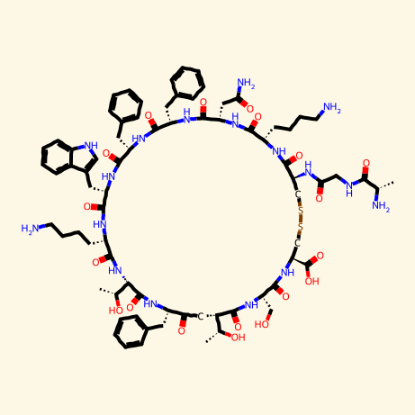 C[C@H](N)C(=O)NCC(=O)N[C@H]1CSSC[C@@H](C(=O)O)NC(=O)[C@H](CO)NC(=O)[C@H]([C@@H](C)O)CC(=O)[C@H](Cc2ccccc2)NC(=O)[C@H]([C@@H](C)O)NC(=O)[C@H](CCCCN)NC(=O)[C@H](Cc2c[nH]c3ccccc23)NC(=O)[C@H](Cc2ccccc2)NC(=O)[C@H](Cc2ccccc2)NC(=O)[C@H](CC(N)=O)NC(=O)[C@H](CCCCN)NC1=O